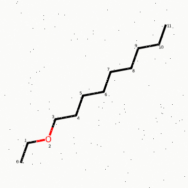 [CH2]COCCCCCCCCC